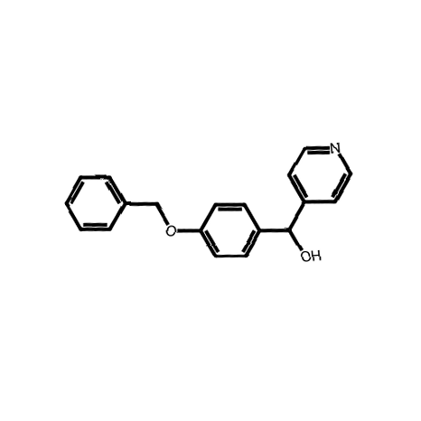 OC(c1ccncc1)c1ccc(OCc2ccccc2)cc1